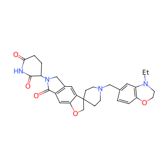 CCN1CCOc2ccc(CN3CCC4(CC3)COc3cc5c(cc34)CN(C3CCC(=O)NC3=O)C5=O)cc21